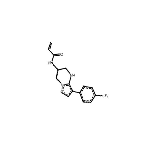 C=CC(=O)NC1CNc2c(-c3ccc(C(F)(F)F)cc3)cnn2C1